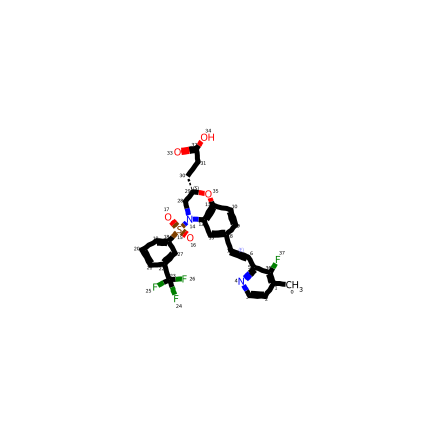 Cc1ccnc(/C=C/c2ccc3c(c2)N(S(=O)(=O)c2cccc(C(F)(F)F)c2)C[C@H](CCC(=O)O)O3)c1F